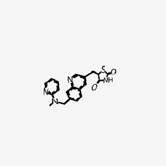 CN(Cc1ccc2cc(CC3SC(=O)NC3=O)cnc2c1)c1ccccn1